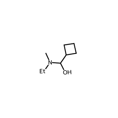 CCN(C)C(O)C1CCC1